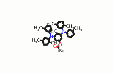 CCC(C)C(=O)Oc1cc(N(c2cccc(C)c2)c2cc(C)ccc2C)c(C)c(N(c2cccc(C)c2)c2cc(C)ccc2C)c1